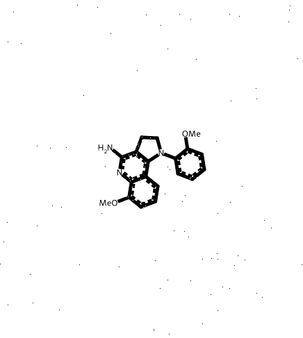 COc1ccccc1N1CCc2c(N)nc3c(OC)cccc3c21